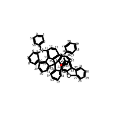 c1ccc(N(c2ccccc2)c2ccc(N(c3ccccc3)c3ccc4oc5ccccc5c4c3)c3c2-c2ccccc2C32c3ccccc3-c3ccccc32)cc1